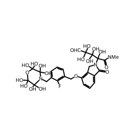 CNC(=O)C(O)(N1Cc2c(OCc3cccc(CN4C(O)(O)C(O)(O)OC(O)(O)C4(O)O)c3F)cccc2C1=O)C(O)(O)C(O)(O)C=O